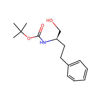 CC(C)(C)OC(=O)N[C@@H](CO)CCc1ccccc1